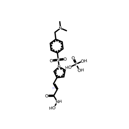 CN(C)Cc1ccc(S(=O)(=O)n2ccc(/C=C/C(=O)NO)c2)cc1.O=P(O)(O)O